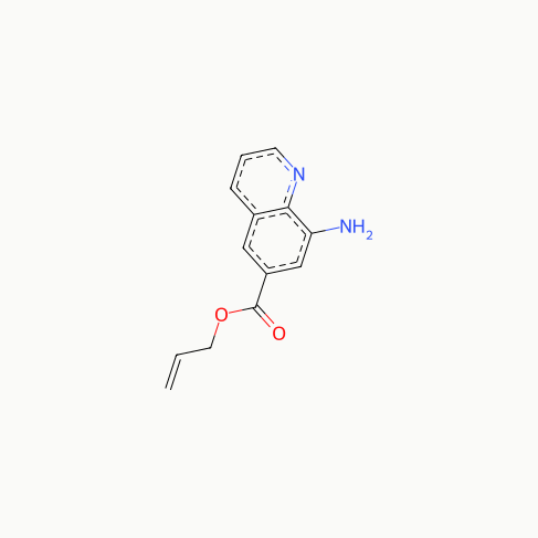 C=CCOC(=O)c1cc(N)c2ncccc2c1